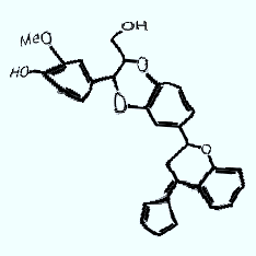 COc1cc(C2Oc3cc(C4CC(=C5C=CC=C5)c5ccccc5O4)ccc3OC2CO)ccc1O